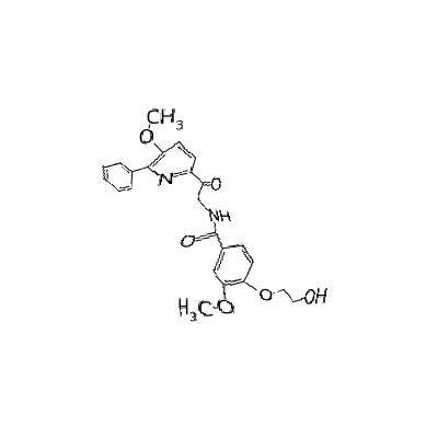 COc1cc(C(=O)NCC(=O)c2ccc(OC)c(-c3ccccc3)n2)ccc1OCCO